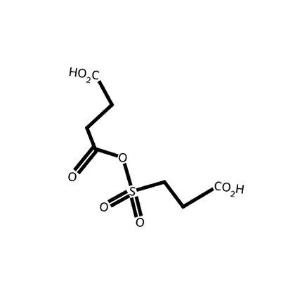 O=C(O)CCC(=O)OS(=O)(=O)CCC(=O)O